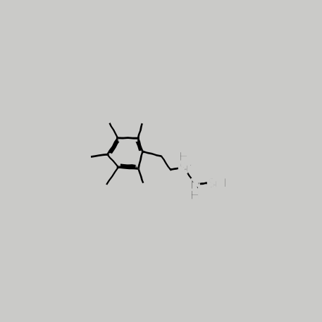 Cc1c(C)c(C)c(CC[SiH2]N[SiH3])c(C)c1C